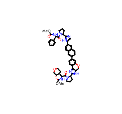 COC(=O)NC(C(=O)N1CCCC1c1ncc(-c2ccc3cc(-c4ccc5c(c4)OCc4[nH]c(C6CCCN6C(=O)C(NC(=O)OC)C6CCOCC6)nc4-5)ccc3c2)[nH]1)c1ccccc1